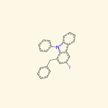 Ic1cc(Cc2ccccc2)c2c(c1)c1ccccc1n2-c1ccccc1